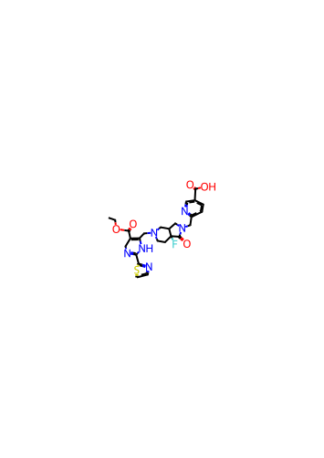 CCOC(=O)C1=C(CN2CCC3(F)C(=O)N(Cc4ccc(C(=O)O)cn4)CC3C2)NC(c2nccs2)=NC1